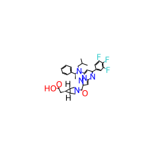 CC(C)CN(c1cc(-c2cc(F)c(F)c(F)c2)nc2cc(C(=O)N3C[C@@H]4[C@@H](CC(=O)O)[C@@H]4C3)nn12)[C@@H](C)c1ccccc1